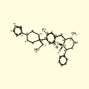 C[C@@H]1NC[C@@H](c2ccccc2)S(=O)(=O)C1Cc1cc(F)c(C2(CO)CCC(n3ccnc3)CC2)cc1F